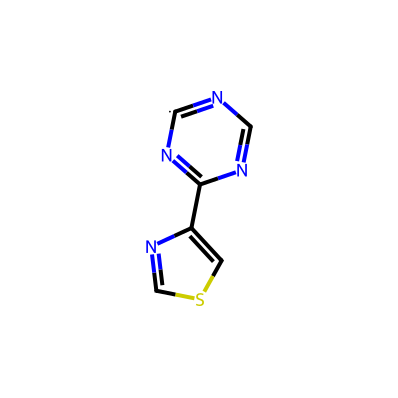 [c]1ncnc(-c2cscn2)n1